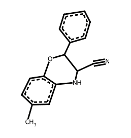 Cc1ccc2c(c1)NC(C#N)C(c1ccccc1)O2